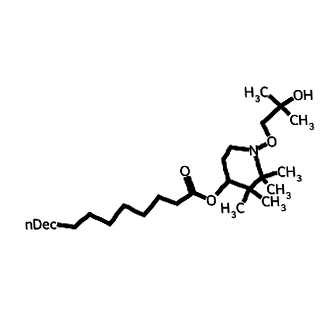 CCCCCCCCCCCCCCCCCC(=O)OC1CCN(OCC(C)(C)O)C(C)(C)C1(C)C